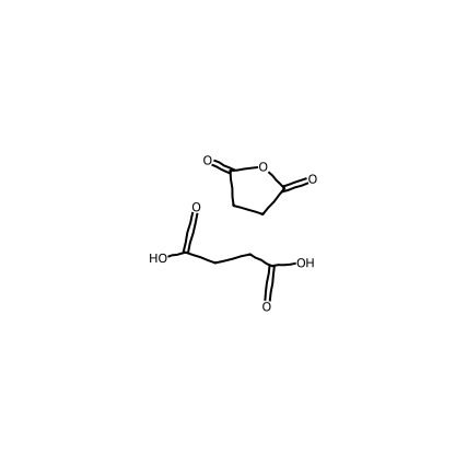 O=C(O)CCC(=O)O.O=C1CCC(=O)O1